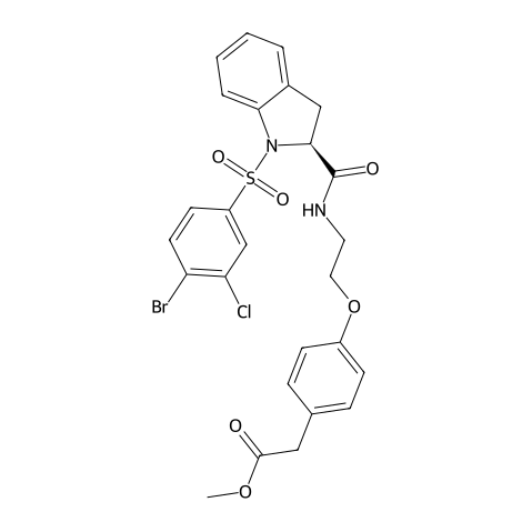 COC(=O)Cc1ccc(OCCNC(=O)[C@@H]2Cc3ccccc3N2S(=O)(=O)c2ccc(Br)c(Cl)c2)cc1